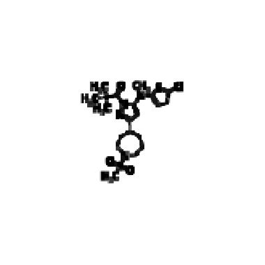 CN(c1ccc(Cl)s1)c1cc(C2CCCN(S(C)(=O)=O)CC2)nn1C(=O)C(C)(C)C